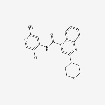 O=C(Nc1cc(C(F)(F)F)ccc1Cl)c1cc(C2CCOCC2)nc2ccccc12